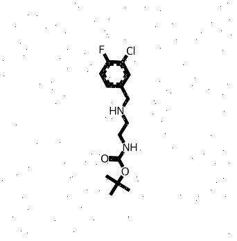 CC(C)(C)OC(=O)NCCNCc1ccc(F)c(Cl)c1